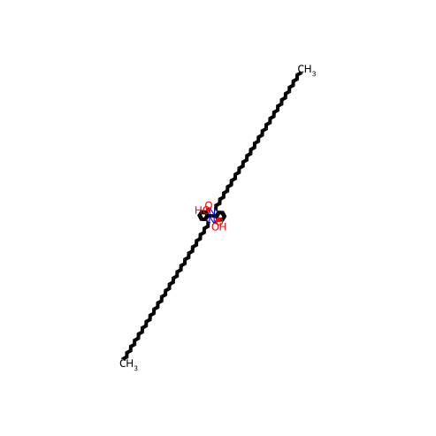 CCCCCCCCCCCCCCCCCCCCCCCCCCCCCCCCCCCCCCCCCCCCCCN(C(=O)O)C(c1ccccc1)(c1ccccc1)N(CCCCCCCCCCCCCCCCCCCCCCCCCCCCCCCCCCCCCCCCCCCCCC)C(=O)O